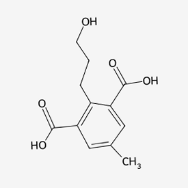 Cc1cc(C(=O)O)c(CCCO)c(C(=O)O)c1